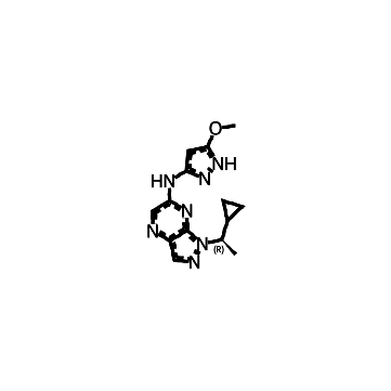 COc1cc(Nc2cnc3cnn([C@H](C)C4CC4)c3n2)n[nH]1